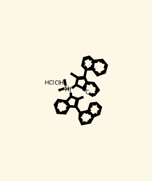 CC1=C(c2cccc3ccccc23)c2ccccc2[CH]1[Hf]([CH]1C(C)=C(c2cccc3ccccc23)c2ccccc21)=[Si](C)C.Cl.Cl